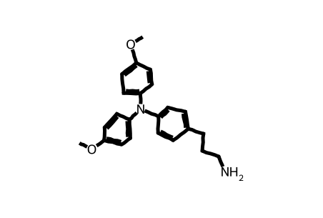 COc1ccc(N(c2ccc(CCCN)cc2)c2ccc(OC)cc2)cc1